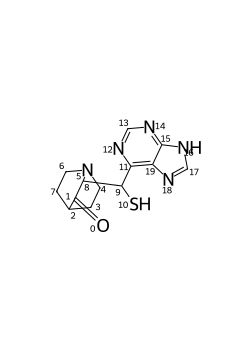 O=C1C2CCN(CC2)C1C(S)c1ncnc2[nH]cnc12